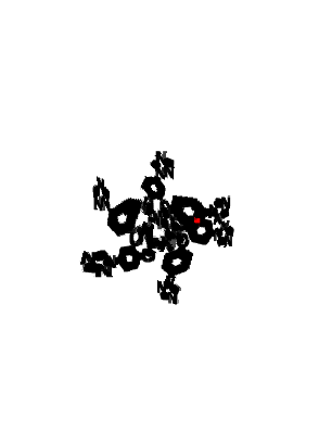 c1ncn(-c2ccc(ON3P(Oc4ccc(-n5cncn5)cc4)N=P(Oc4ccc(-n5cncn5)cc4)(Oc4ccc(-n5cncn5)cc4)N(Oc4ccc(-n5cncn5)cc4)P3Oc3ccc(-n4cncn4)cc3)cc2)n1